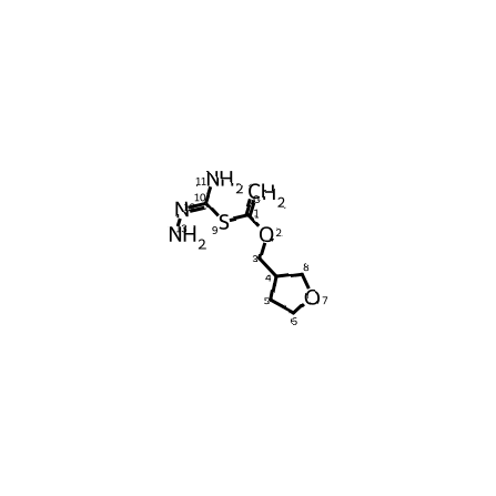 C=C(OCC1CCOC1)S/C(N)=N\N